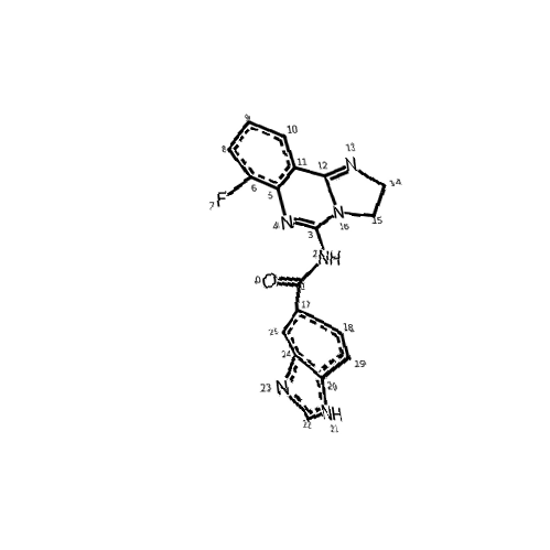 O=C(NC1=Nc2c(F)cccc2C2=NCCN12)c1ccc2[nH]cnc2c1